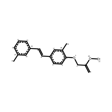 C=C(COc1ccc(C=Cc2cccc(C)c2)cc1C)OCC